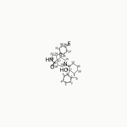 Cc1ccccc1C1(O)CCCCC1N1CCC2(CC1)C(=O)NCC2c1ccc(F)cc1